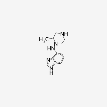 CC1CNCCN1Nc1cccc2[nH]cnc12